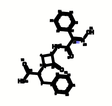 O=C(NC1CN(C(Cc2ccccc2)C(=O)S)C1=O)/C(=N/O)c1ccccc1